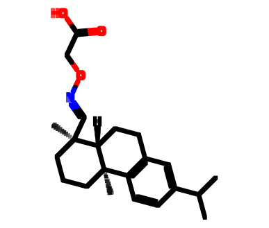 CC(C)c1ccc2c(c1)CC[C@H]1[C@](C)(/C=N/OCC(=O)O)CCC[C@]21C